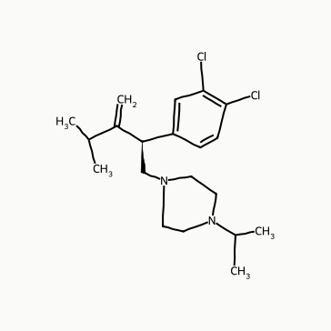 C=C(C(C)C)[C@H](CN1CCN(C(C)C)CC1)c1ccc(Cl)c(Cl)c1